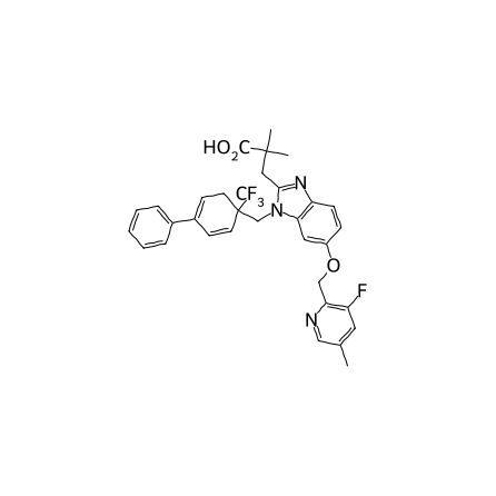 Cc1cnc(COc2ccc3nc(CC(C)(C)C(=O)O)n(CC4(C(F)(F)F)C=CC(c5ccccc5)=CC4)c3c2)c(F)c1